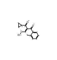 CCOC=C(C(=O)c1ccccc1C)C(=O)C1CC1